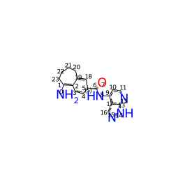 NC1=C2C=C[C@H](C(=O)Nc3ccnc4[nH]ncc34)C=C2CCCC1